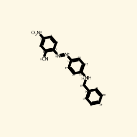 N#Cc1cc([N+](=O)[O-])ccc1/N=N/c1ccc(NCc2ccccc2)cc1